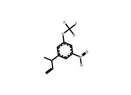 [CH2]C(C=C)c1cc(OC(F)(F)F)cc([N+](=O)[O-])c1